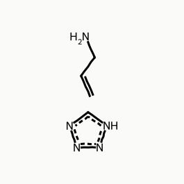 C=CCN.c1nnn[nH]1